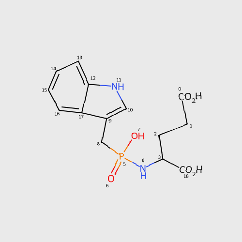 O=C(O)CCC(NP(=O)(O)Cc1c[nH]c2ccccc12)C(=O)O